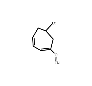 CCC1CC=CC=C(OC#N)C1